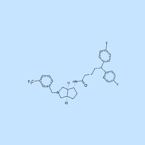 O=C(CCCC(c1ccc(F)cc1)c1ccc(F)cc1)N[C@@H]1CC[C@H]2CN(Cc3cccc(C(F)(F)F)c3)C[C@H]21